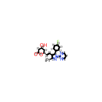 CC(C)c1nn(-c2ncccn2)c(-c2ccc(F)cc2)c1/C=C/[C@@H]1C[C@@H](O)CC(=O)O1